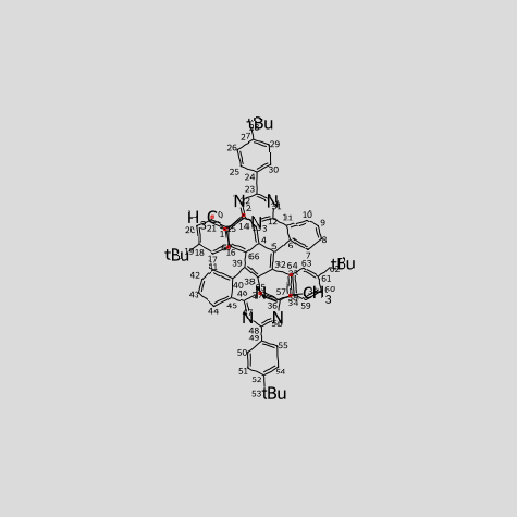 Cc1ccc2c(-c3ccccc3-c3nc(-c4ccc(C(C)(C)C)cc4)nc(-c4ccc(C(C)(C)C)cc4)n3)c3cc(C)ccc3c(-c3ccccc3-c3nc(-c4ccc(C(C)(C)C)cc4)nc(-c4ccc(C(C)(C)C)cc4)n3)c2c1